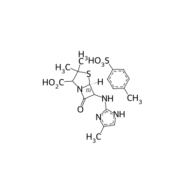 Cc1c[nH]c(NC2C(=O)N3C(C(=O)O)C(C)(C)S[C@@H]23)n1.Cc1ccc(S(=O)(=O)O)cc1